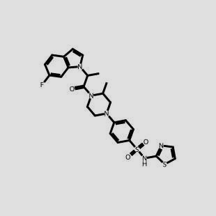 CC1CN(c2ccc(S(=O)(=O)Nc3nccs3)cc2)CCN1C(=O)C(C)n1ccc2ccc(F)cc21